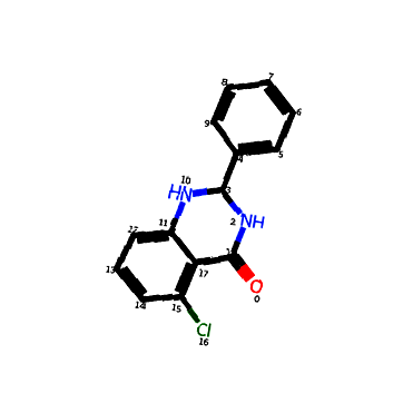 O=C1NC(c2ccccc2)Nc2cccc(Cl)c21